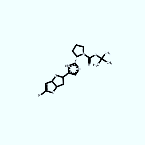 CC(C)(C)OC(=O)N1CCC[C@H]1c1ncc(C2CC3SC(Br)=CC3S2)[nH]1